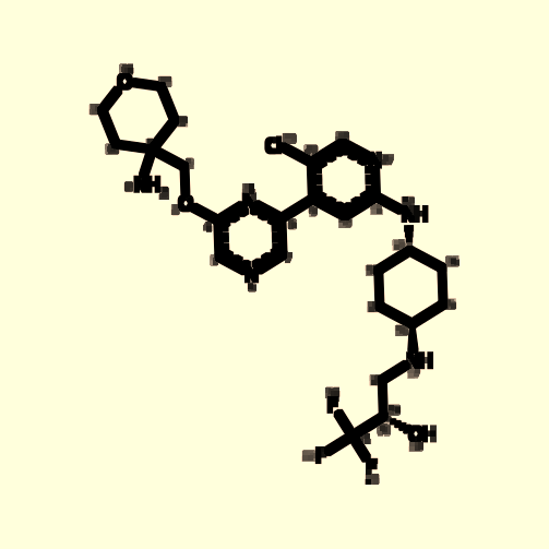 NC1(COc2cncc(-c3cc(N[C@H]4CC[C@H](NC[C@H](O)C(F)(F)F)CC4)ncc3Cl)n2)CCOCC1